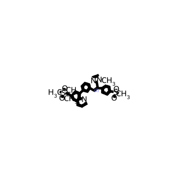 Cn1ccnc1/C(=C\c1cccc(-c2cc(C(C)(C)S(C)(=O)=O)cc3cccnc23)c1)c1ccc(S(C)(=O)=O)cc1